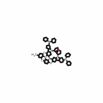 Cc1cc(C)c(N2c3cc4c5ccc(N(c6ccccc6)c6ccccc6)cc5n(-c5ccccc5)c4cc3B3c4cc5c(cc4Oc4cccc2c43)c2ccc(N(c3ccccc3)c3ccccc3)cc2n5-c2ccccc2)c(C)c1